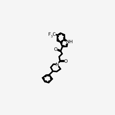 O=C(CCC(=O)N1CCC(c2ccccc2)CC1)c1c[nH]c2ccc(C(F)(F)F)cc12